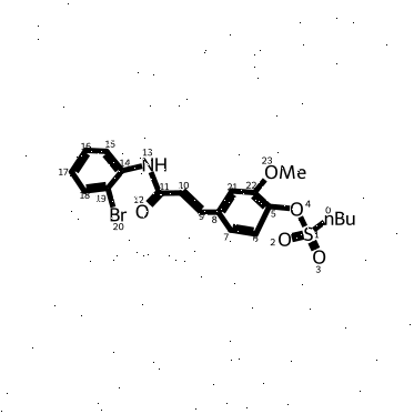 CCCCS(=O)(=O)Oc1ccc(C=CC(=O)Nc2ccccc2Br)cc1OC